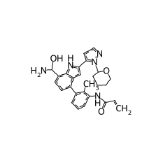 C=CC(=O)Nc1cccc(-c2ccc(C(N)O)c3[nH]c(-c4ccnn4C4CCCCO4)cc23)c1C